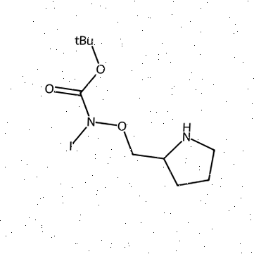 CC(C)(C)OC(=O)N(I)OCC1CCCN1